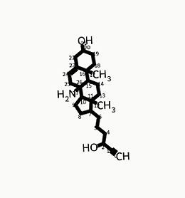 C#CC(O)CCCC1CCC2C1(C)CCC1C3(C)CCC(O)CC3=CCC12N